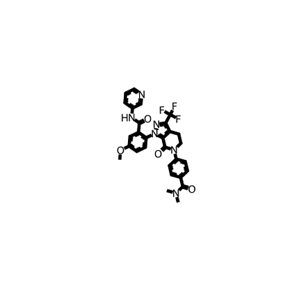 COc1ccc(-n2nc(C(F)(F)F)c3c2C(=O)N(c2ccc(C(=O)N(C)C)cc2)CC3)c(C(=O)Nc2cccnc2)c1